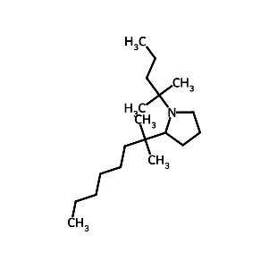 CCCCCCC(C)(C)C1CCCN1C(C)(C)CCC